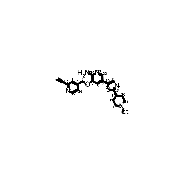 C#Cc1cc(COc2cc(-c3cnc(C4CCN(CC)CC4)s3)cnc2N)ccn1